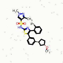 Cc1nn(C)cc1S(=O)(=O)Nc1nc(-c2ccccc2C(C)C)c(-c2cccc([C@H]3CC[C@H](OC(F)(F)F)C3)c2)s1